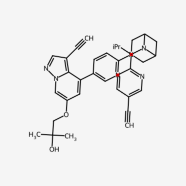 C#Cc1ccc(C(C(C)C)N2C3CC2CN(c2ccc(-c4cc(OCC(C)(C)O)cn5ncc(C#C)c45)cn2)C3)nc1